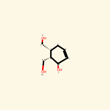 OC[C@@H]1CC=C[C@@H](O)[C@@H]1CO